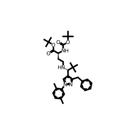 Cc1ccc(C)c(-n2cc([C@H](NCC[C@H](NC(=O)OC(C)(C)C)C(=O)OC(C)(C)C)C(C)(C)C)c(Cc3ccccc3)n2)c1